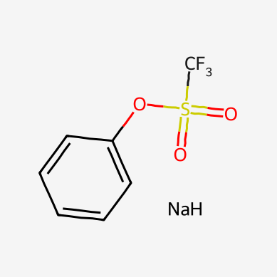 O=S(=O)(Oc1ccccc1)C(F)(F)F.[NaH]